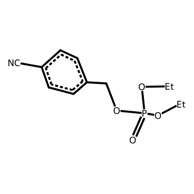 CCOP(=O)(OCC)OCc1ccc(C#N)cc1